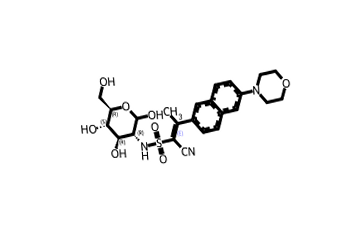 C/C(=C(/C#N)S(=O)(=O)N[C@H]1C(O)O[C@H](CO)[C@@H](O)[C@@H]1O)c1ccc2cc(N3CCOCC3)ccc2c1